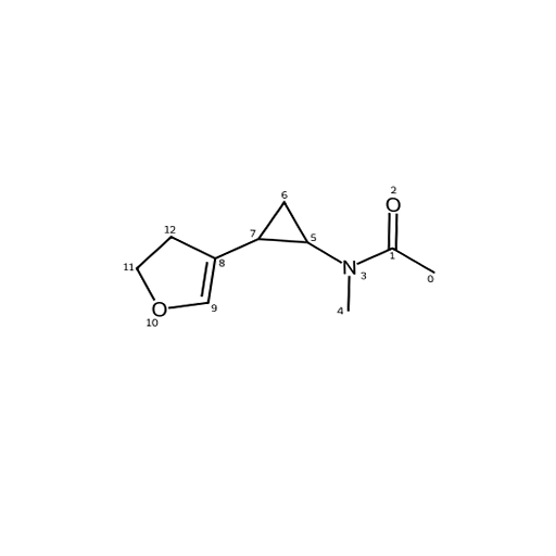 CC(=O)N(C)C1CC1C1=COCC1